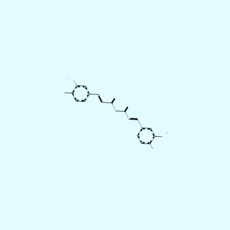 CCCCc1cc(/C=C/C(=O)CC(=O)/C=C/c2ccc(O)c(OCC)c2)ccc1O